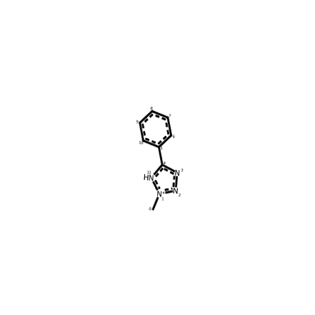 C[n+]1nnc(-c2ccccc2)[nH]1